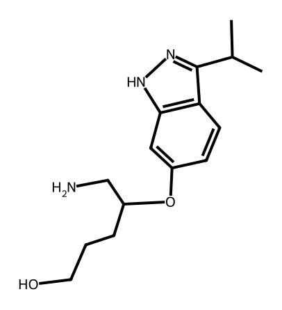 CC(C)c1n[nH]c2cc(OC(CN)CCCO)ccc12